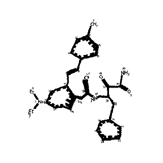 CCNCC.Cc1ccc(C=Cc2ccccc2C(=O)NC(Cc2ccccc2)C(=O)C(N)=O)cc1